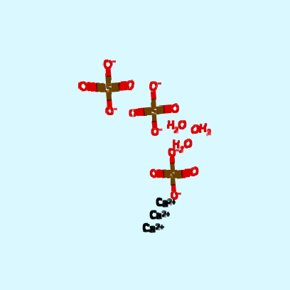 O.O.O.O=S(=O)([O-])[O-].O=S(=O)([O-])[O-].O=S(=O)([O-])[O-].[Ca+2].[Ca+2].[Ca+2]